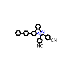 [C-]#[N+]c1ccc(-c2c(-c3ccc(C#N)cc3)nc3c4ccccc4c4cc(-c5ccc(-c6ccccc6)cc5)ccc4n23)cc1